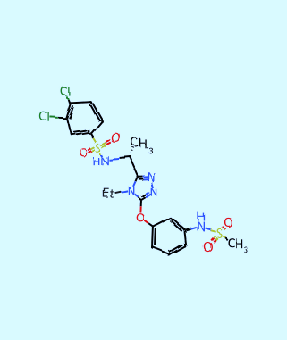 CCn1c(Oc2cccc(NS(C)(=O)=O)c2)nnc1[C@@H](C)NS(=O)(=O)c1ccc(Cl)c(Cl)c1